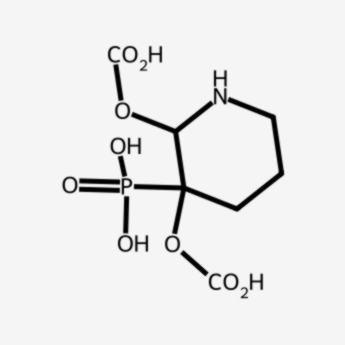 O=C(O)OC1NCCCC1(OC(=O)O)P(=O)(O)O